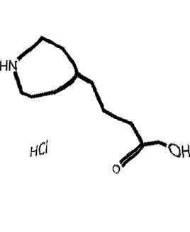 Cl.O=C(O)CCCC1CCNCC1